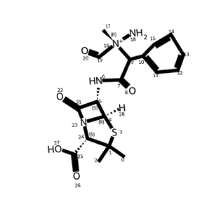 CC1(C)S[C@@H]2[C@@H](NC(=O)C(c3ccccc3)[N@@+](C)(N)C=O)C(=O)N2[C@H]1C(=O)O